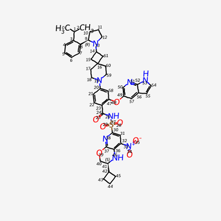 CC(C)c1ccccc1[C@H]1CCCN1C1CC2(CCN(c3ccc(C(=O)NS(=O)(=O)c4cc([N+](=O)[O-])c5c(n4)OC[C@H](C4CCC4)N5)c(Oc4cnc5[nH]ccc5c4)c3)CC2)C1